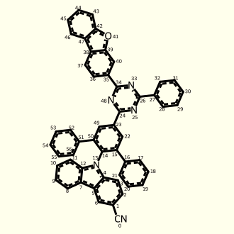 N#Cc1ccc2c(c1)c1ccccc1n2-c1c(-c2ccccc2)cc(-c2nc(-c3ccccc3)nc(-c3ccc4c(c3)oc3ccccc34)n2)cc1-c1ccccc1